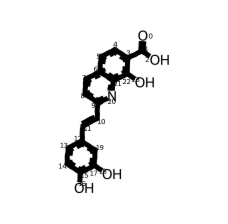 O=C(O)c1ccc2ccc(/C=C/c3ccc(O)c(O)c3)nc2c1O